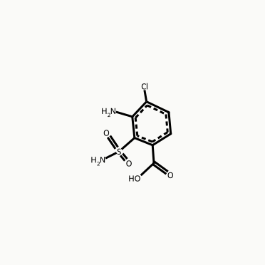 Nc1c(Cl)ccc(C(=O)O)c1S(N)(=O)=O